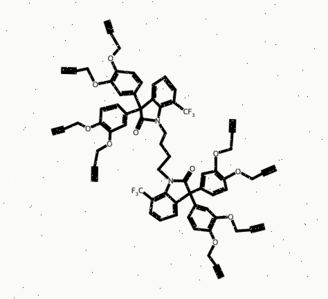 C#CCOc1ccc(C2(c3ccc(OCC#C)c(OCC#C)c3)C(=O)N(CCCCN3C(=O)C(c4ccc(OCC#C)c(OCC#C)c4)(c4ccc(OCC#C)c(OCC#C)c4)c4cccc(C(F)(F)F)c43)c3c(C(F)(F)F)cccc32)cc1OCC#C